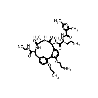 Cc1nc(C(=O)N[C@@H](CCN)C(=O)N(C)[C@@H]2C(=O)N[C@@H](C)C(=O)N[C@H](C(=O)NCC#N)Cc3ccc(OCCN)c(c3)-c3cc2ccc3OCCN)c(C)s1